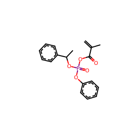 C=C(C)C(=O)OP(=O)(Oc1ccccc1)OC(C)c1ccccc1